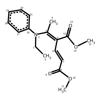 CCN(/C(C)=C(\C=C\C(=O)OC)C(=O)OC)c1ccccc1